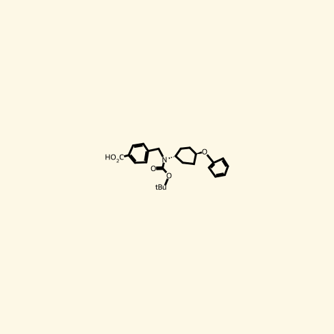 CC(C)(C)OC(=O)N(Cc1ccc(C(=O)O)cc1)[C@H]1CC[C@H](Oc2ccccc2)CC1